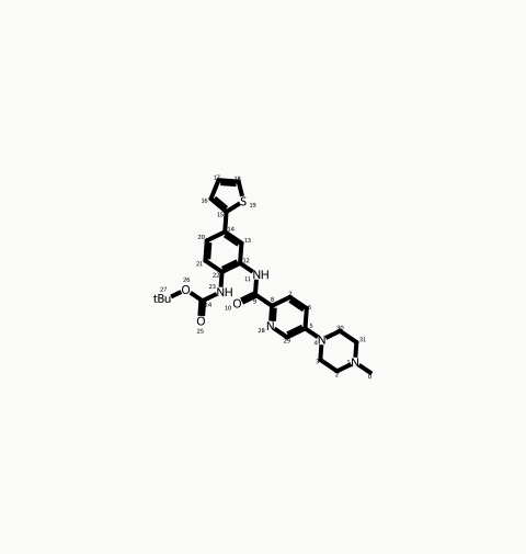 CN1CCN(c2ccc(C(=O)Nc3cc(-c4cccs4)ccc3NC(=O)OC(C)(C)C)nc2)CC1